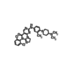 Cc1cc(Nc2ncc3c(n2)N2CCN=C2N(c2c(Cl)cccc2Cl)C3=O)ccc1N1CCC(N(C)C)CC1